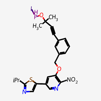 CC(C)c1ncc(-c2cnc([N+](=O)[O-])c(OCc3cccc(C#CC(C)(C)OPI)c3)c2)s1